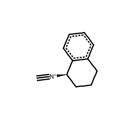 C#[N+][C@@H]1CCCc2ccccc21